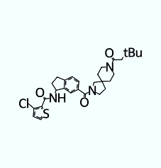 CC(C)(C)CC(=O)N1CCC2(CC1)CCN(C(=O)c1ccc3c(c1)C(NC(=O)c1sccc1Cl)CC3)C2